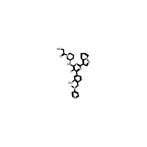 CN(Cc1ccc(-c2nc(-c3cnn4ccccc34)nc(N[C@@H]3CCCN(C(=O)CC#N)C3)c2F)cc1O)c1ccncc1